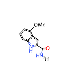 [2H]NC(=O)c1cc2c(OC)cccc2[nH]1